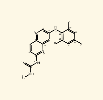 CCNC(=S)Nc1ccc2ncc(Nc3c(C)cc(C)cc3C)nc2n1